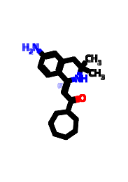 CC1(C)Cc2cc(N)ccc2/C(=C/C(=O)C2CCCCCC2)N1